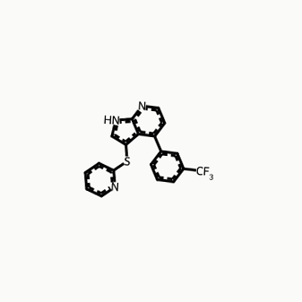 FC(F)(F)c1cccc(-c2ccnc3[nH]cc(Sc4ccccn4)c23)c1